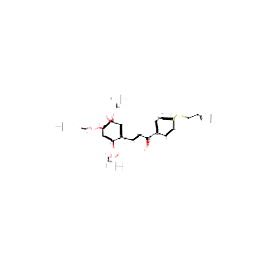 CCCSc1ccc(C(=O)C=Cc2cc(OCC)c(OCC)cc2OCC)cc1